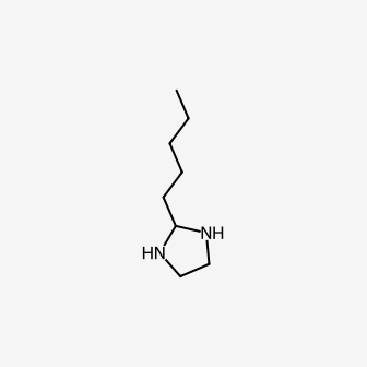 CCCCCC1NCCN1